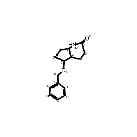 O=C1CCC2C(CCC2OCc2ccccc2)N1